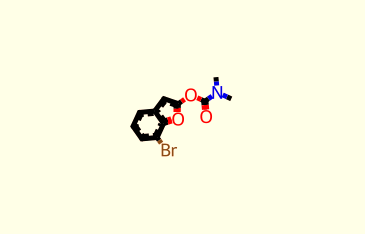 CN(C)C(=O)Oc1cc2cccc(Br)c2o1